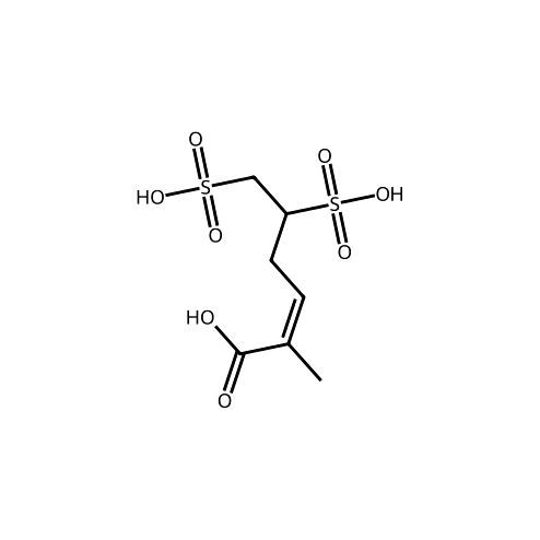 CC(=CCC(CS(=O)(=O)O)S(=O)(=O)O)C(=O)O